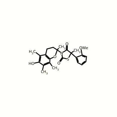 COc1ccccc1C1(C)SC(=O)N(C2(C)CCc3c(C)c(O)c(C)c(C)c3O2)C1=O